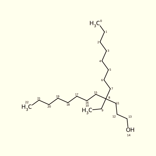 CCCCCCCCC(CC)(CCCO)CCCCCCCC